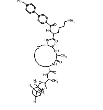 CCCCc1ccc(-c2ccc(C(=O)N[C@@H](CCCCN)C(=O)N[C@H]3COCCCCC[C@@H](C(=O)N[C@@H](C)B4OC5C[C@@H]6C[C@@H](C6(C)C)[C@]5(C)O4)NC(=O)[C@H](C)NC3=O)cc2)cc1